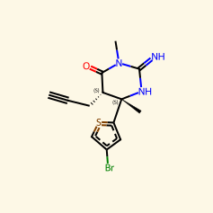 C#CC[C@@H]1C(=O)N(C)C(=N)N[C@]1(C)c1cc(Br)cs1